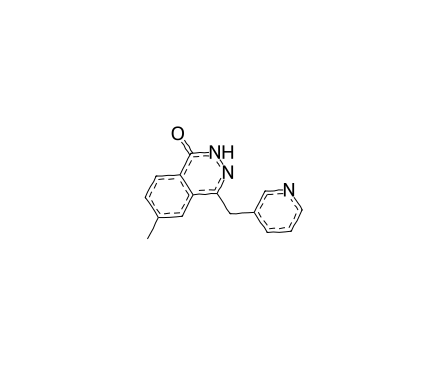 Cc1ccc2c(=O)[nH]nc(Cc3cccnc3)c2c1